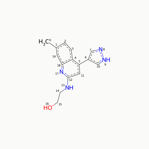 Cc1ccc2c(-c3cn[nH]c3)cc(NCCO)nc2c1